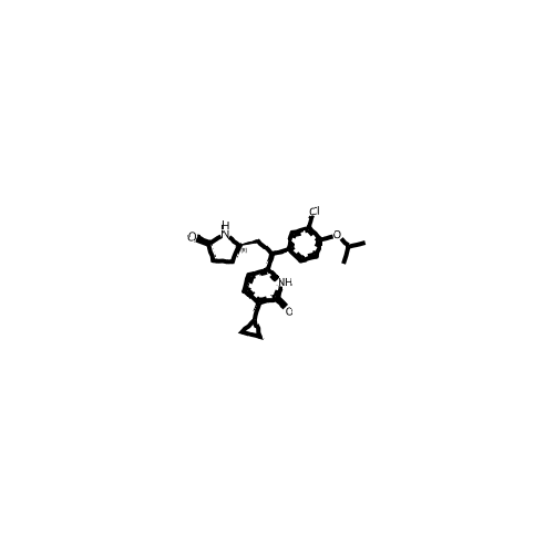 CC(C)Oc1ccc(C(C[C@H]2CCC(=O)N2)c2ccc(C3CC3)c(=O)[nH]2)cc1Cl